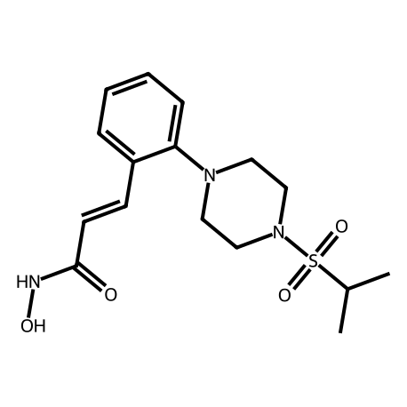 CC(C)S(=O)(=O)N1CCN(c2ccccc2C=CC(=O)NO)CC1